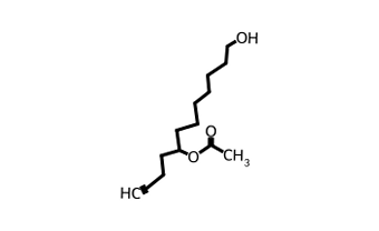 C#CCCC(CCCCCCCO)OC(C)=O